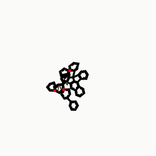 c1ccc(-c2ccc(N(c3ccccc3)c3ccc4c(c3)C3(c5ccccc5-4)c4ccccc4-c4c3c(N(c3ccccc3)c3ccccc3)cc3ccccc43)cc2)cc1